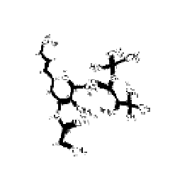 C=C(C(=O)OC(C)(C)C)C(C)(C)C.C=CC(=O)OC(CCCCCC)=C(C)C(=O)O